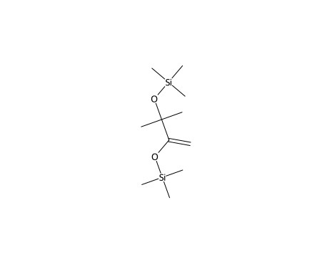 C=C(O[Si](C)(C)C)C(C)(C)O[Si](C)(C)C